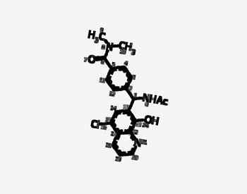 CC(=O)NC(c1ccc(C(=O)N(C)C)cc1)c1cc(Cl)c2cccnc2c1O